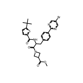 COC(=O)C1CN(C(=O)C(Cc2ccc(-c3ncc(Br)cn3)cc2)NC(=O)c2ccc(C(C)(C)C)s2)C1